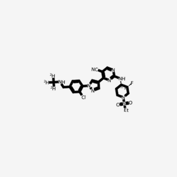 [2H]C([2H])([2H])NCc1ccc(-n2cc(-c3nc(N[C@H]4CCN(S(=O)(=O)CC)C[C@H]4F)ncc3C#N)cn2)c(Cl)c1